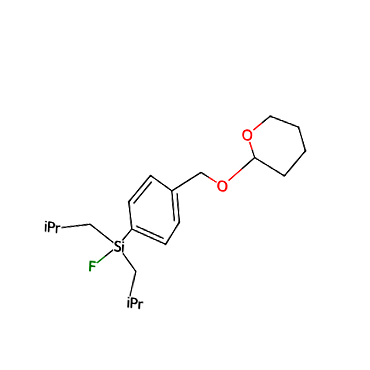 CC(C)C[Si](F)(CC(C)C)c1ccc(COC2CCCCO2)cc1